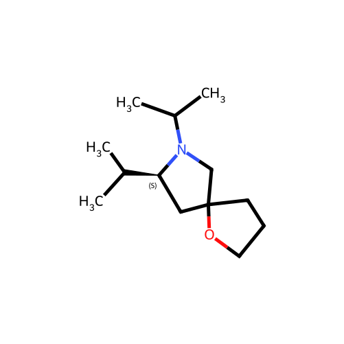 CC(C)[C@@H]1CC2(CCCO2)CN1C(C)C